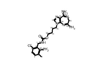 Cc1ccc(Cl)c(CNC(=O)OCCCCn2cnc3c2N=C(P)CN=C3N)c1P